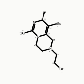 C[C@@H]1N=C(C(C)(C)C)N2CCN(CCO)CC2=C1C(C)(C)C